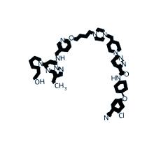 CCc1cnn2c(NCc3ccc(OCCCCN4CCN(CC5CCN(c6ccc(C(=O)N[C@H]7CC[C@H](Oc8ccc(C#N)c(Cl)c8)CC7)nn6)CC5)CC4)nc3)cc(N3CCCCC3CCO)nc12